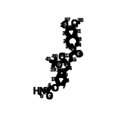 CNC(=O)COc1ccc2c(c1)CC2CN(CCC(=O)N1CCc2cc(OC)c(OC)cc2CC1)C(=O)OC(C)(C)C